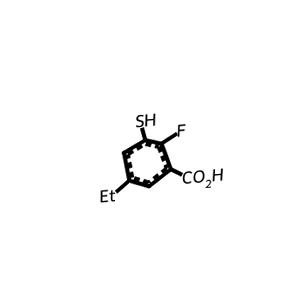 CCc1cc(S)c(F)c(C(=O)O)c1